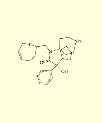 O=C(N(CC1CCC=CCC1)C1CCNCC1)C(O)(c1ccccc1)C1CCCC1